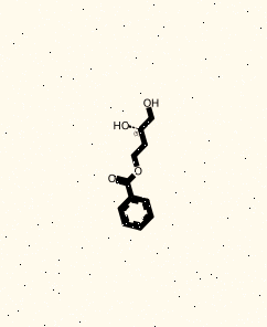 O=C(OCC[C@H](O)CO)c1ccccc1